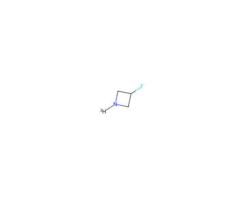 [2H]N1CC(F)C1